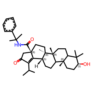 CC(C)C1=C2[C@H]3CCC4[C@@]5(C)CC[C@H](O)C(C)(C)C5CC[C@@]4(C)[C@]3(C)CC[C@@]2(C(=O)NC(C)(C)c2ccccc2)CC1=O